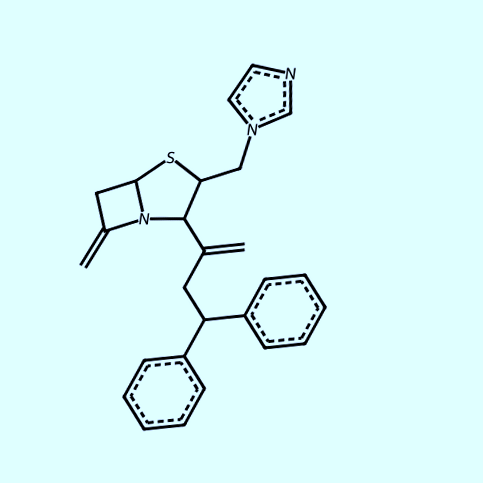 C=C(CC(c1ccccc1)c1ccccc1)C1C(Cn2ccnc2)SC2CC(=C)N21